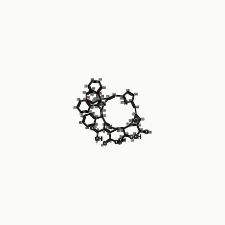 O=C(O)C1=C(C(=O)O)c2nc1c(C(=O)O)c1[nH]c(cc3nc(cc4c(-c5ccccc5)c(-c5ccccc5)c(c2-c2ccccc2)n4-c2ccccc2)C=C3)cc1C(=O)O